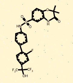 CC1(C)Oc2ccc(S(=O)(=O)Nc3ccc(-c4ccc(C(O)(C(F)(F)F)C(F)(F)F)cc4F)cc3)cc2NC1=O